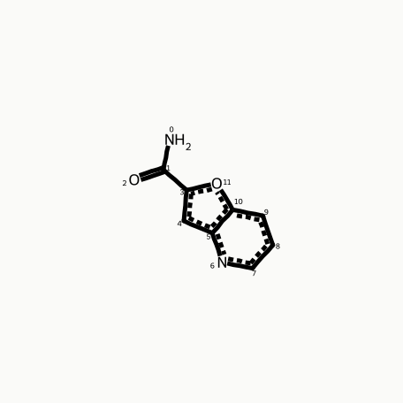 NC(=O)c1cc2ncccc2o1